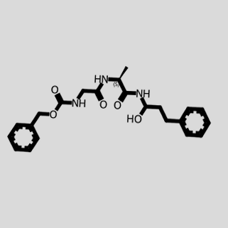 C[C@H](NC(=O)CNC(=O)OCc1ccccc1)C(=O)NC(O)CCc1ccccc1